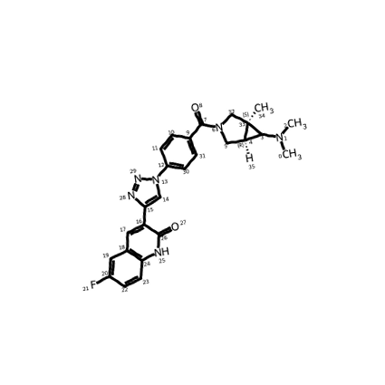 CN(C)C1[C@H]2CN(C(=O)c3ccc(-n4cc(-c5cc6cc(F)ccc6[nH]c5=O)nn4)cc3)C[C@@]12C